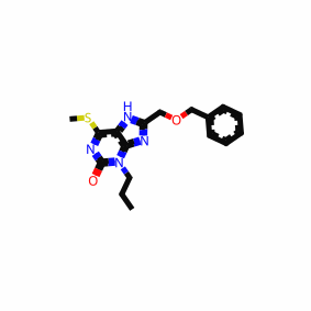 CCCn1c(=O)nc(SC)c2[nH]c(COCc3ccccc3)nc21